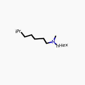 CCCCCCN(C)CCCCCC(C)C